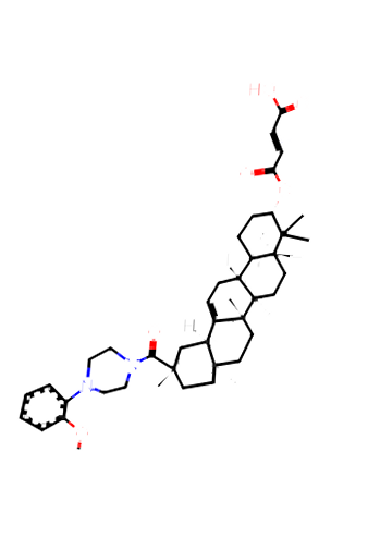 COc1ccccc1N1CCN(C(=O)[C@@]2(C)CC[C@]3(C)CC[C@]4(C)C(=CC[C@@H]5[C@@]6(C)CC[C@H](OC(=O)/C=C/C(=O)O)C(C)(C)[C@@H]6CC[C@]54C)[C@@H]3C2)CC1